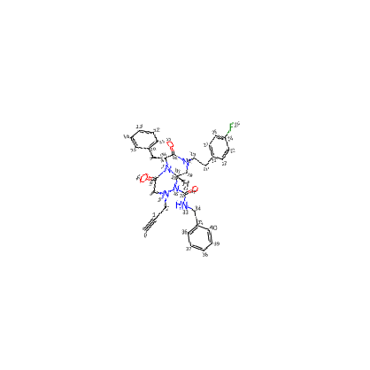 C#CCN1CC(=O)N2[C@@H](Cc3ccccc3)C(=O)N(CCc3ccc(F)cc3)C[C@@H]2N1C(=O)NCc1ccccc1